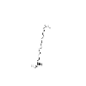 NCCCCCCCCCCCCCNN